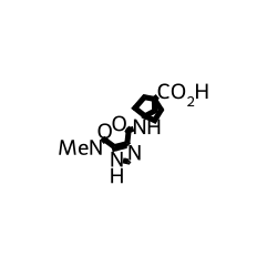 CNC(=O)c1[nH]cnc1C(=O)NC12CCC(C(=O)O)(CC1)C2